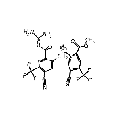 COC(=O)c1cc(C(F)(F)F)c(C#N)cc1C.Cc1cc(C#N)c(C(F)(F)F)cc1C(=O)N=C(N)N